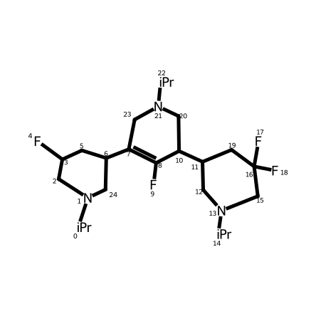 CC(C)N1CC(F)CC(C2=C(F)C(C3CN(C(C)C)CC(F)(F)C3)CN(C(C)C)C2)C1